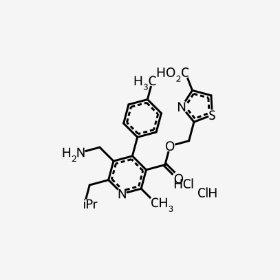 Cc1ccc(-c2c(CN)c(CC(C)C)nc(C)c2C(=O)OCc2nc(C(=O)O)cs2)cc1.Cl.Cl